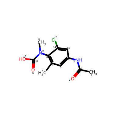 CC(=O)Nc1cc(C)c(N(C)C(=O)O)c(Cl)c1